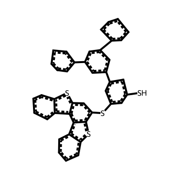 Sc1cc(Sc2cc3sc4ccccc4c3c3c2sc2ccccc23)cc(-c2cc(-c3ccccc3)cc(-c3ccccc3)c2)c1